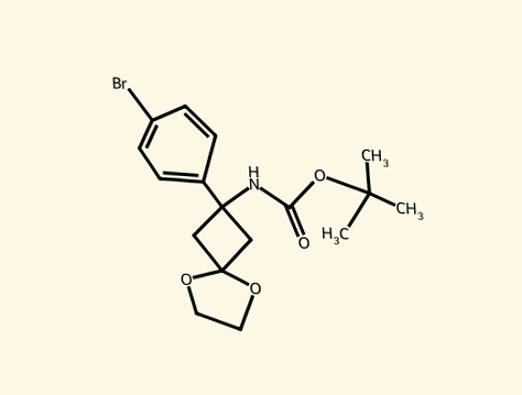 CC(C)(C)OC(=O)NC1(c2ccc(Br)cc2)CC2(C1)OCCO2